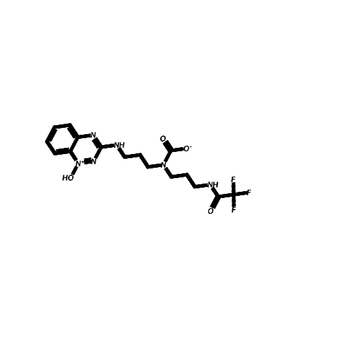 O=C([O-])N(CCCNC(=O)C(F)(F)F)CCCNc1nc2ccccc2[n+](O)n1